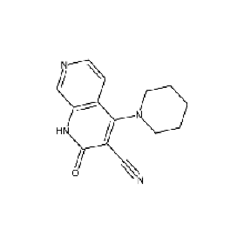 N#Cc1c(N2CCCCC2)c2ccncc2[nH]c1=O